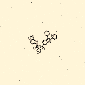 O=C(N[C@]1(C(=O)Nc2ccc3ocnc3c2)CCOC1)c1ccc2c(C3CCCCC3)n(-c3ccccn3)nc2c1